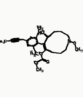 CC#Cc1cc(C)c(/C2=C(\OC(=O)OC)CCCN(OC)CCCC2O)c(C)c1